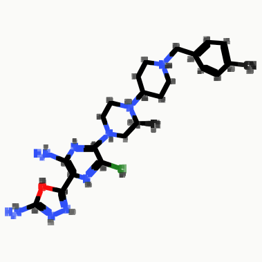 CC[C@H]1CN(c2nc(N)c(-c3nnc(N)o3)nc2Cl)CCN1C1CCN(Cc2ccc(C#N)cc2)CC1